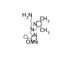 COC1(c2cccnc2CN(CCCCN)Cc2ncc(C)cc2C)CCC1